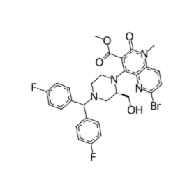 COC(=O)c1c(N2CCN(C(c3ccc(F)cc3)c3ccc(F)cc3)C[C@@H]2CO)c2nc(Br)ccc2n(C)c1=O